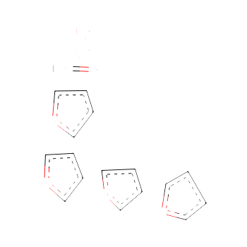 C=O.O.O.c1ccoc1.c1ccoc1.c1ccoc1.c1ccoc1